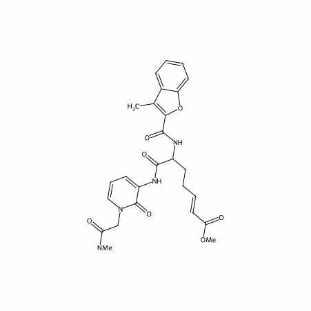 CNC(=O)Cn1cccc(NC(=O)C(CC/C=C/C(=O)OC)NC(=O)c2oc3ccccc3c2C)c1=O